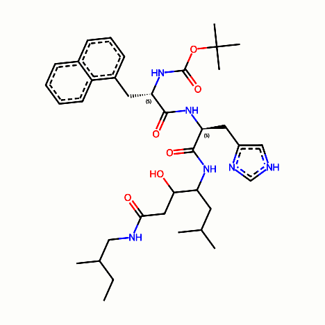 CCC(C)CNC(=O)CC(O)C(CC(C)C)NC(=O)[C@H](Cc1c[nH]cn1)NC(=O)[C@H](Cc1cccc2ccccc12)NC(=O)OC(C)(C)C